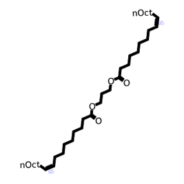 CCCCCCCC/C=C\CCCCCCCC(=O)OCCCOC(=O)CCCCCCC/C=C\CCCCCCCC